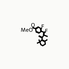 C=C(C(C)=C(F)c1ccc(C(=O)OC)cc1F)C1=C(C)CCCC1(C)C